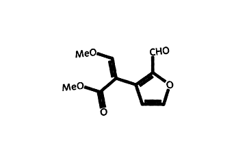 COC=C(C(=O)OC)c1ccoc1C=O